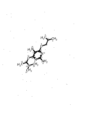 CC(C)COc1nc(N)nc(OC(C)N(C)C)c1N